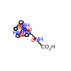 O=C(O)CCCCCNC(=O)CCCCCNC(=O)c1cc(C(=O)N[C@H]2CCCC[C@@H]2OCc2ccccc2)n(CC(=O)N[C@H]2CCCC[C@@H]2OCc2ccccc2)n1